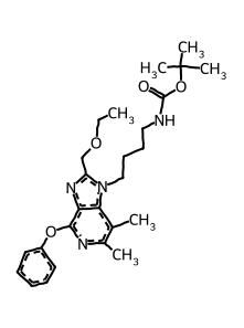 CCOCc1nc2c(Oc3ccccc3)nc(C)c(C)c2n1CCCCNC(=O)OC(C)(C)C